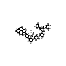 CC1(C)c2cc(-c3ccc4ccc5cccc6ccc3c4c56)ccc2-c2cccc(-c3ccc(-c4cccc(-c5nc(-c6ccccc6)nc(-c6ccccc6)n5)c4)cc3)c21